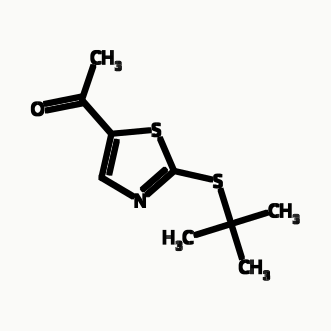 CC(=O)c1cnc(SC(C)(C)C)s1